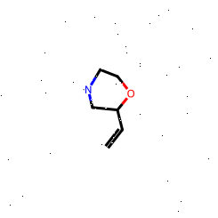 C=CC1C[N]CCO1